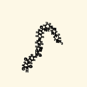 CC1(N)CCN(c2cnc(Sc3cccc(NC(=O)c4ccc5c(c4)CC(N4CCN(c6ccc(C(=O)NCc7ccc8c(c7)CN(C7CCC(=O)NC7=O)C8=O)nn6)CC4)C5)c3)cn2)CC1